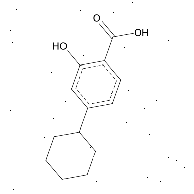 O=C(O)c1ccc(C2CCCCC2)cc1O